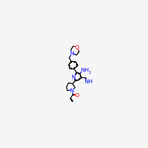 C=CC(=O)N1CCCC(c2cc(C=N)c(N)c(-c3ccc(CN4CCOCC4)cc3)n2)C1